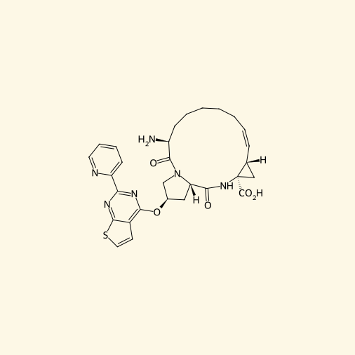 N[C@H]1CCCCCC=C[C@@H]2C[C@@]2(C(=O)O)NC(=O)[C@@H]2C[C@@H](Oc3nc(-c4ccccn4)nc4sccc34)CN2C1=O